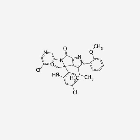 COc1ccccc1-n1nc2c(c1C(C)C)C1(C(=O)Nc3cc(Cl)ccc31)N(c1cncc(Cl)c1)C2=O